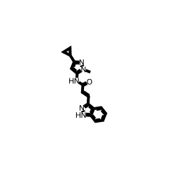 Cn1nc(C2CC2)cc1NC(=O)C=Cc1n[nH]c2ccccc12